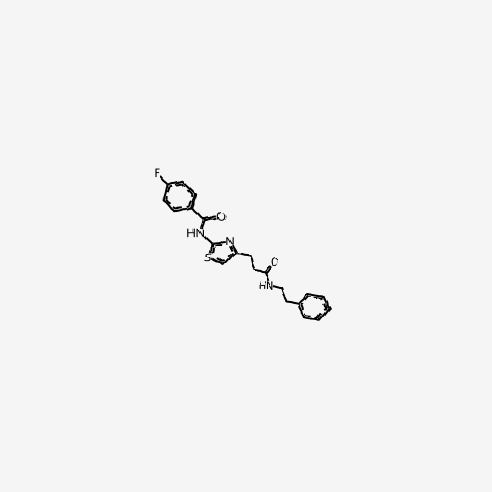 O=C(CCc1csc(NC(=O)c2ccc(F)cc2)n1)NCCc1ccccc1